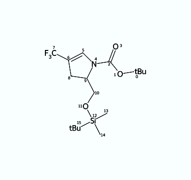 CC(C)(C)OC(=O)N1C=C(C(F)(F)F)CC1CO[Si](C)(C)C(C)(C)C